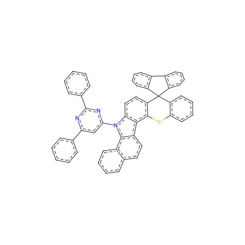 c1ccc(-c2cc(-n3c4ccc5c(c4c4ccc6ccccc6c43)Sc3ccccc3C53c4ccccc4-c4ccccc43)nc(-c3ccccc3)n2)cc1